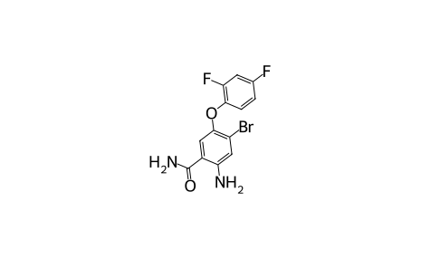 NC(=O)c1cc(Oc2ccc(F)cc2F)c(Br)cc1N